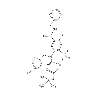 CC(C)(C)CC(=O)N[C@H]1CS(=O)(=O)c2cc(F)c(C(=O)NCc3ccccc3)cc2N(Cc2ccc(Cl)cc2)C1=O